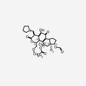 COC[C@H]1OC(=O)C(=CN2CCCC2)C2=C(O)C(=O)C3=C([C@H](OC(C)=O)C[C@@]4(C)C3CC[C@@H]4OC=O)[C@]21C